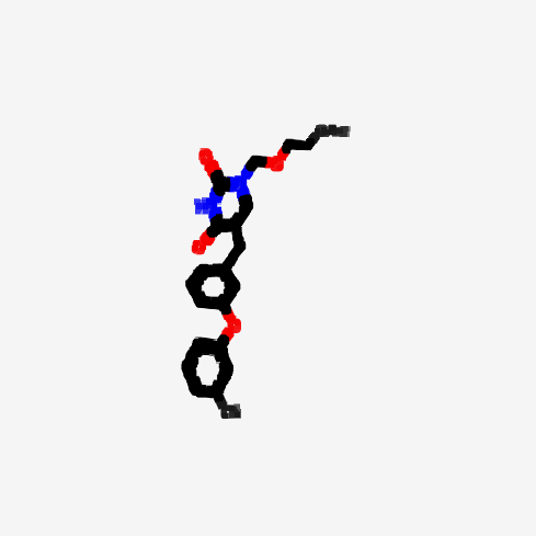 CC(=O)OCCOCn1cc(Cc2cccc(Oc3cccc(C#N)c3)c2)c(=O)[nH]c1=O